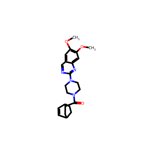 COc1cc2cnc(N3CCN(C(=O)C4CC5C=CC4CC5)CC3)nc2cc1OC